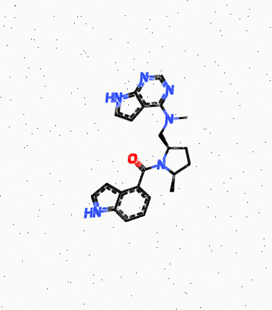 C[C@@H]1CC[C@H](CN(C)c2ncnc3[nH]ccc23)N1C(=O)c1cccc2[nH]ccc12